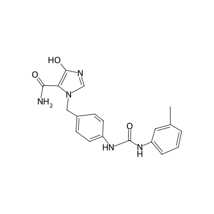 Cc1cccc(NC(=O)Nc2ccc(Cn3cnc(O)c3C(N)=O)cc2)c1